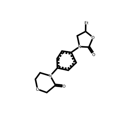 CCC1CN(c2ccc(N3CCOCC3=O)cc2)C(=O)O1